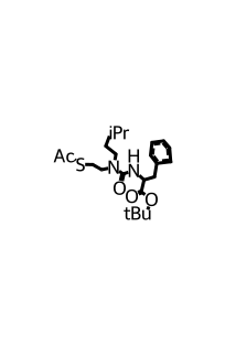 CC(=O)SCCN(CCC(C)C)C(=O)NC(Cc1ccccc1)C(=O)OC(C)(C)C